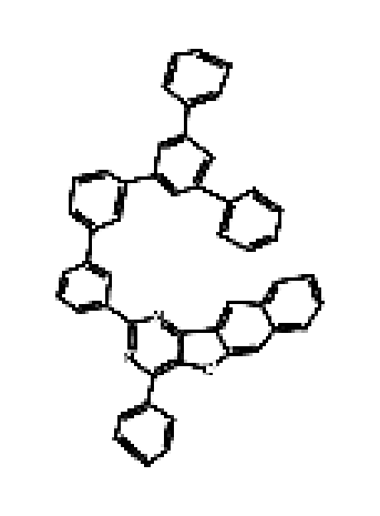 c1ccc(-c2cc(-c3ccccc3)cc(-c3cccc(-c4cccc(-c5nc(-c6ccccc6)c6oc7cc8ccccc8cc7c6n5)c4)c3)c2)cc1